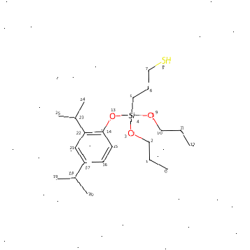 CCCO[Si](CCCS)(OCCC)Oc1ccc(C(C)C)cc1C(C)C